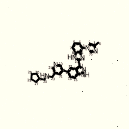 Cc1cn(-c2cccc3[nH]c(-c4n[nH]c5ccc(-c6cncc(CNCC7CCCC7)c6)cc45)nc23)cn1